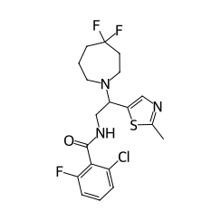 Cc1ncc(C(CNC(=O)c2c(F)cccc2Cl)N2CCCC(F)(F)CC2)s1